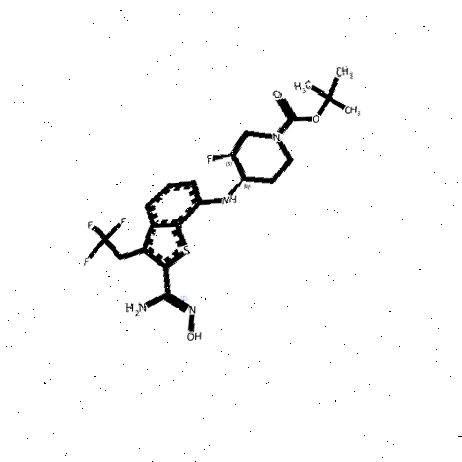 CC(C)(C)OC(=O)N1CC[C@@H](Nc2cccc3c(CC(F)(F)F)c(/C(N)=N/O)sc23)[C@@H](F)C1